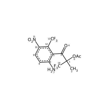 CC(=O)OC(C)(C(=O)c1c(N)ccc([N+](=O)[O-])c1C(F)(F)F)C(F)(F)F